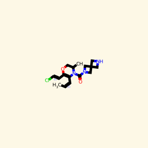 C/C=C\C1=C(/C=C/Cl)OCC(C)N1C(=O)N1CC2(CNC2)C1